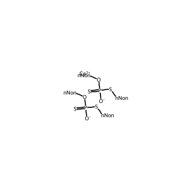 CCCCCCCCCOP([O-])(=S)SCCCCCCCCC.CCCCCCCCCOP([O-])(=S)SCCCCCCCCC.[Ca+2]